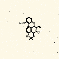 C=CC(CCl)C1Oc2cccc(OC)c2-c2ccc3c(c21)C(C)=CC(C)(C)N3